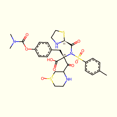 Cc1ccc(S(=O)(=O)N(C(=O)[C@H]2NCCS2)[C@@](Cc2ccc(OC(=O)N(C)C)cc2)(C(=O)O)C(=O)C2C[S+]([O-])CCN2)cc1